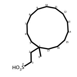 CC1(CCS(=O)(=O)O)CCCCCCCCCCCCC1